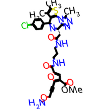 COC(=O)c1cc(C(=O)NCCCNC(=O)C[C@@H]2N=C(c3ccc(Cl)cc3)c3c(sc(C)c3C)-n3c(C)nnc32)oc1C#CCON